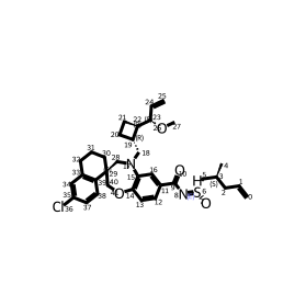 C=CC[C@H](C)C/[SH](=O)=N\C(=O)c1ccc2c(c1)N(C[C@@H]1CC[C@H]1[C@H](C=C)OC)C[C@@]1(CCCc3cc(Cl)ccc31)CO2